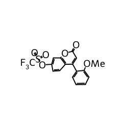 COc1ccccc1-c1cc(=O)oc2cc(OS(=O)(=O)C(F)(F)F)ccc12